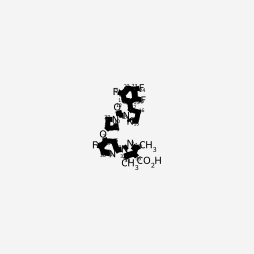 Cc1nn(-c2cc(OC3CN(C(=O)N4N=CCC4c4cc(F)cc(F)c4F)C3)c(F)cn2)c(C)c1C(=O)O